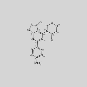 Cc1csc2nc(-c3cnc(N)nc3)nc(N3CCOCC3C)c12